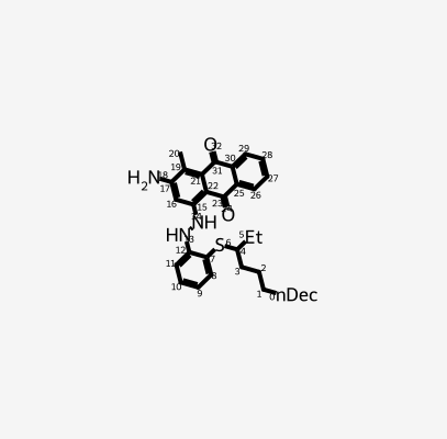 CCCCCCCCCCCCCC(CC)Sc1ccccc1NNc1cc(N)c(C)c2c1C(=O)c1ccccc1C2=O